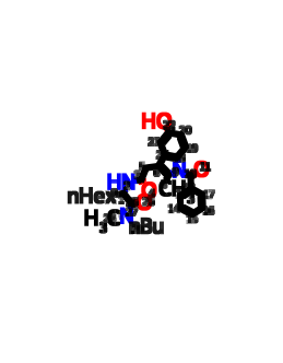 CCCCCCC(NC(=O)Cc1c(C)n(C(=O)c2ccccc2)c2ccc(O)cc12)C(=O)N(C)CCCC